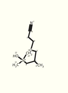 CC(COCCC#N)C[Si](C)(C)O